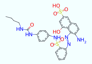 CCCCNC(=O)Nc1ccc(NS(=O)(=O)c2ccccc2/N=N/c2c(N)ccc3cc(S(=O)(=O)O)cc(O)c23)cc1